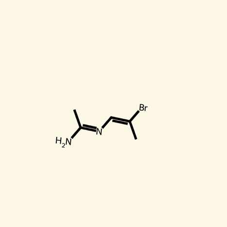 C/C(Br)=C\N=C(/C)N